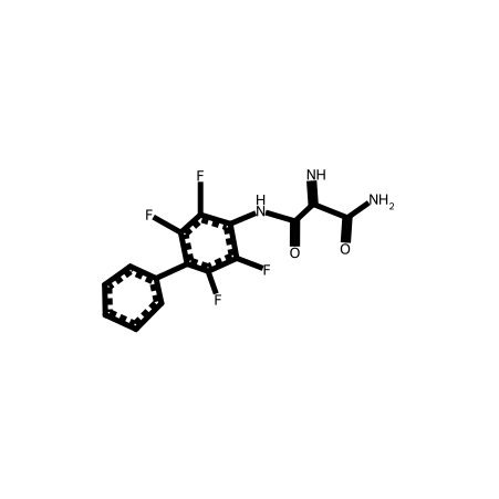 N=C(C(N)=O)C(=O)Nc1c(F)c(F)c(-c2ccccc2)c(F)c1F